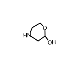 OC1CNCCO1